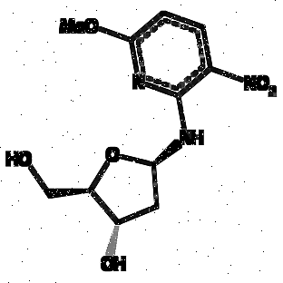 COc1ccc([N+](=O)[O-])c(N[C@H]2C[C@H](O)[C@@H](CO)O2)n1